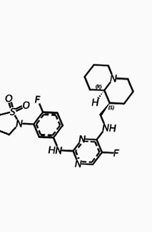 O=S1(=O)CCCN1c1cc(Nc2ncc(F)c(NC[C@@H]3CCCN4CCCC[C@H]34)n2)ccc1F